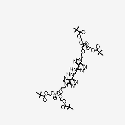 CC(C)(C)C(=O)OCOP(=O)(COCCn1cnc2c(NCNc3ncnc4c3ncn4CCOCP(=O)(OCOC(=O)C(C)(C)C)OCOC(=O)C(C)(C)C)ncnc21)OCOC(=O)C(C)(C)C